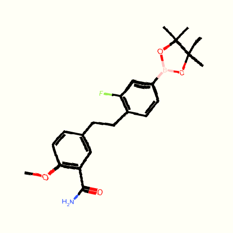 COc1ccc(CCc2ccc(B3OC(C)(C)C(C)(C)O3)cc2F)cc1C(N)=O